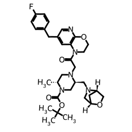 C[C@@H]1CN(CC(=O)N2CCOc3ncc(Cc4ccc(F)cc4)cc32)[C@@H](CN2C[C@@H]3C[C@H]2CO3)CN1C(=O)OC(C)(C)C